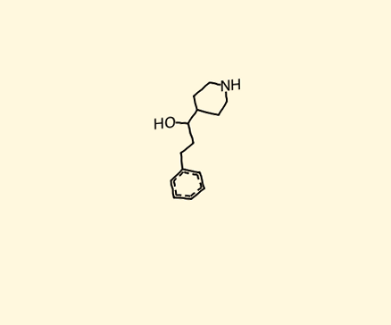 OC(CCc1ccccc1)C1CCNCC1